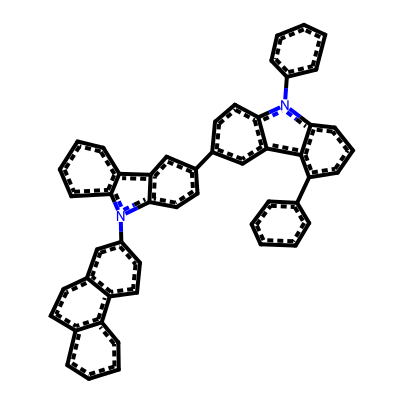 c1ccc(-c2cccc3c2c2cc(-c4ccc5c(c4)c4ccccc4n5-c4ccc5c(ccc6ccccc65)c4)ccc2n3-c2ccccc2)cc1